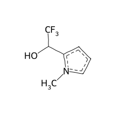 Cn1cccc1C(O)C(F)(F)F